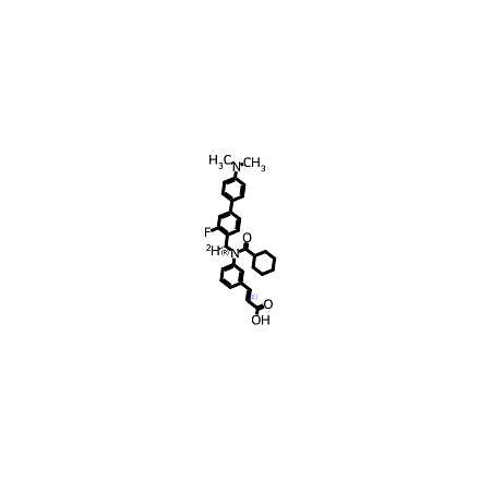 [2H][C@H](c1ccc(-c2ccc(N(C)C)cc2)cc1F)N(C(=O)C1CCCCC1)c1cccc(/C=C/C(=O)O)c1